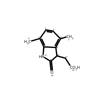 Cc1ccc(C)c2c1NC(=O)C2CC(=O)O